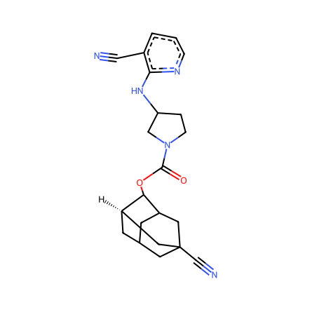 N#Cc1cccnc1NC1CCN(C(=O)OC2C3CC4C[C@@H]2CC(C#N)(C4)C3)C1